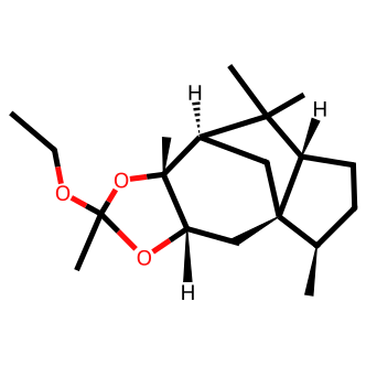 CCOC1(C)O[C@H]2C[C@@]34C[C@H](C(C)(C)[C@@H]3CC[C@H]4C)[C@@]2(C)O1